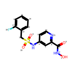 O=C(NO)c1cc(NS(=O)(=O)Cc2ccccc2F)ccn1